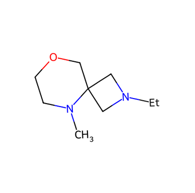 CCN1CC2(COCCN2C)C1